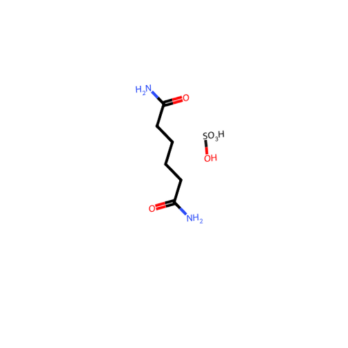 NC(=O)CCCCC(N)=O.O=S(=O)(O)O